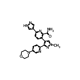 Cn1cc(-c2ccc(-c3cn[nH]c3)nc2C(N)=O)c(-c2ccc(N3CCOCC3)cn2)n1